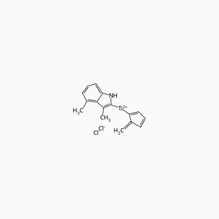 C=C1C=CC=[C]1[Ti+2][c]1[nH]c2cccc(C)c2c1C.[Cl-].[Cl-]